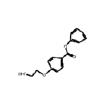 O=CCCOc1ccc(C(=O)Oc2ccccc2)cc1